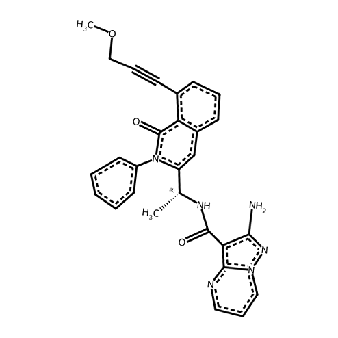 COCC#Cc1cccc2cc([C@@H](C)NC(=O)c3c(N)nn4cccnc34)n(-c3ccccc3)c(=O)c12